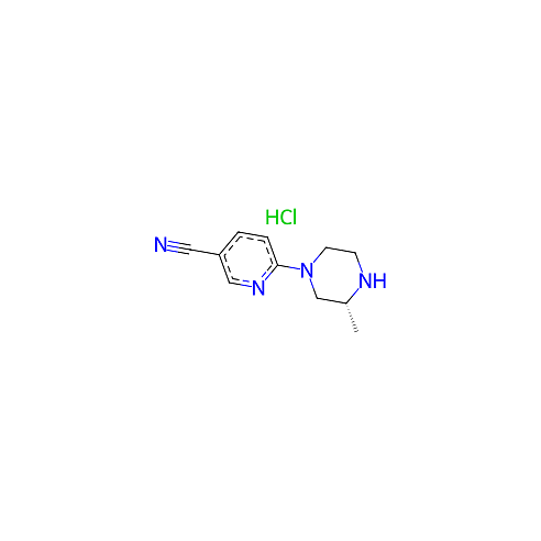 C[C@@H]1CN(c2ccc(C#N)cn2)CCN1.Cl